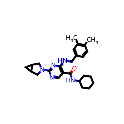 Cc1ccc(CNc2nc(N3CC4CC4C3)ncc2C(=O)NC2CCCCC2)cc1C